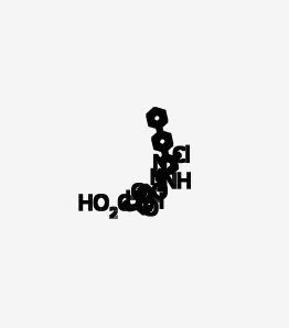 O=C(O)CC1CO[C@H]2[C@@H]1OC[C@H]2Oc1nc2nc(-c3ccc(-c4ccccc4)cc3)c(Cl)cc2[nH]1